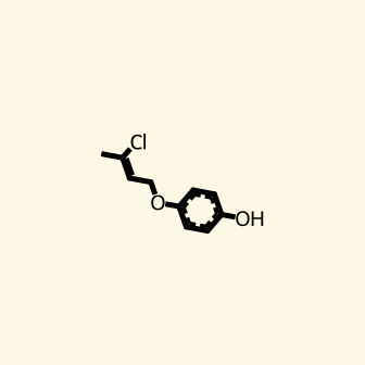 CC(Cl)=CCOc1ccc(O)cc1